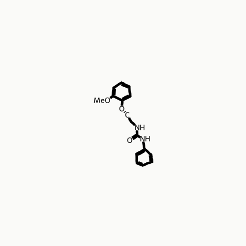 COc1c[c]ccc1OCCNC(=O)Nc1ccccc1